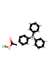 CC(=O)OCl.c1cc[c]([Sn]([c]2ccccc2)[c]2ccccc2)cc1